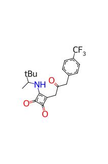 CC(Nc1c(CC(=O)Cc2ccc(C(F)(F)F)cc2)c(=O)c1=O)C(C)(C)C